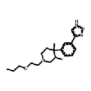 CCCOCCN1CCC(C)(c2cccc(-c3c[nH]nn3)c2)C(C)C1